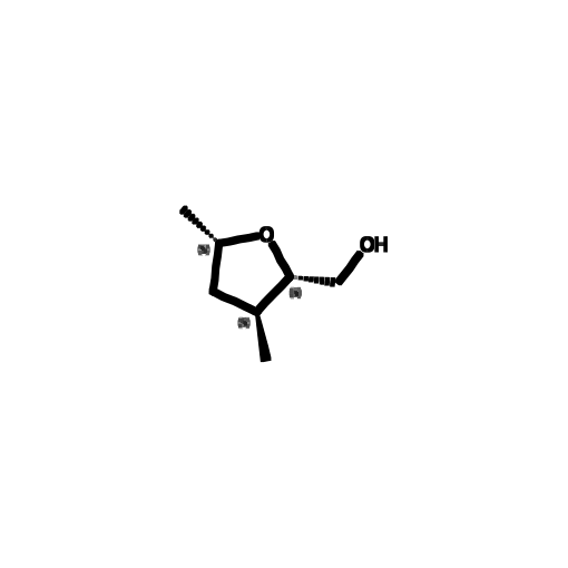 C[C@H]1C[C@H](C)[C@@H](CO)O1